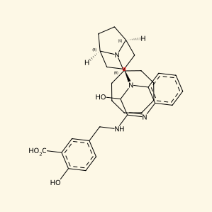 O=C(O)c1cc(CNC2=Nc3ccccc3N([C@H]3C[C@H]4CC[C@@H](C3)N4C3CCCCCCC3)C2O)ccc1O